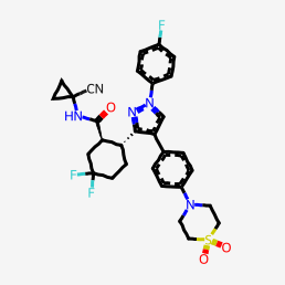 N#CC1(NC(=O)[C@@H]2CC(F)(F)CC[C@H]2c2nn(-c3ccc(F)cc3)cc2-c2ccc(N3CCS(=O)(=O)CC3)cc2)CC1